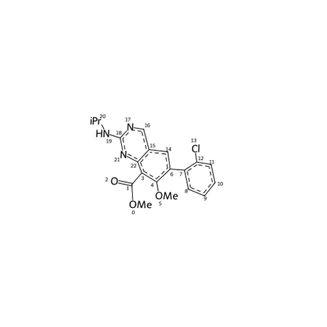 COC(=O)c1c(OC)c(-c2ccccc2Cl)cc2cnc(NC(C)C)nc12